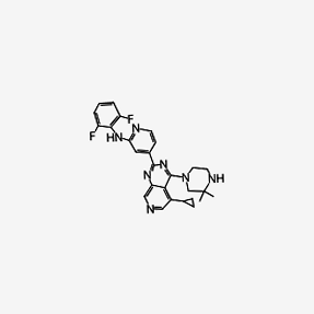 CC1(C)CN(c2nc(-c3ccnc(Nc4c(F)cccc4F)c3)nc3cncc(C4CC4)c23)CCN1